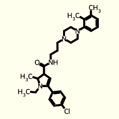 CCN1C(c2ccc(Cl)cc2)=CC(C(=O)NCCCN2CCN(c3cccc(C)c3C)CC2)C1C